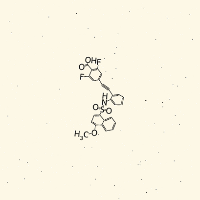 COc1ccc(S(=O)(=O)Nc2ccccc2C#Cc2cc(F)c(C(=O)O)c(F)c2)c2ccccc12